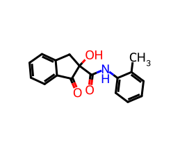 Cc1ccccc1NC(=O)C1(O)Cc2ccccc2C1=O